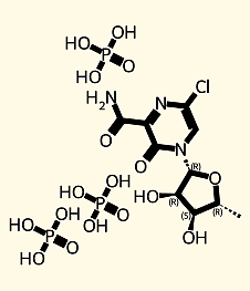 C[C@H]1O[C@@H](n2cc(Cl)nc(C(N)=O)c2=O)[C@H](O)[C@@H]1O.O=P(O)(O)O.O=P(O)(O)O.O=P(O)(O)O